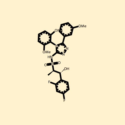 COc1cccc(-c2nnc(NS(=O)(=O)[C@H](C)[C@H](O)c3ccc(F)cc3F)n2-c2c(OC)cccc2OC)c1